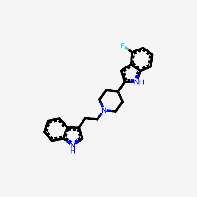 Fc1cccc2[nH]c(C3CCN(CCc4c[nH]c5ccccc45)CC3)cc12